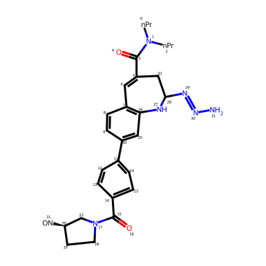 CCCN(CCC)C(=O)C1=Cc2ccc(-c3ccc(C(=O)N4CC[C@@H](N=O)C4)cc3)cc2NC(N=NN)C1